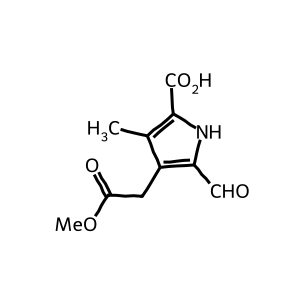 COC(=O)Cc1c(C=O)[nH]c(C(=O)O)c1C